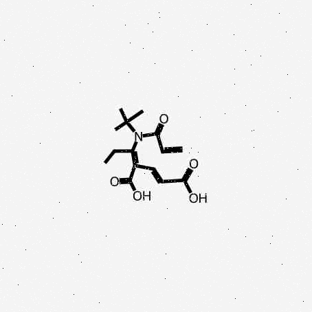 C=CC(=O)N(C(CC)=C(C=CC(=O)O)C(=O)O)C(C)(C)C